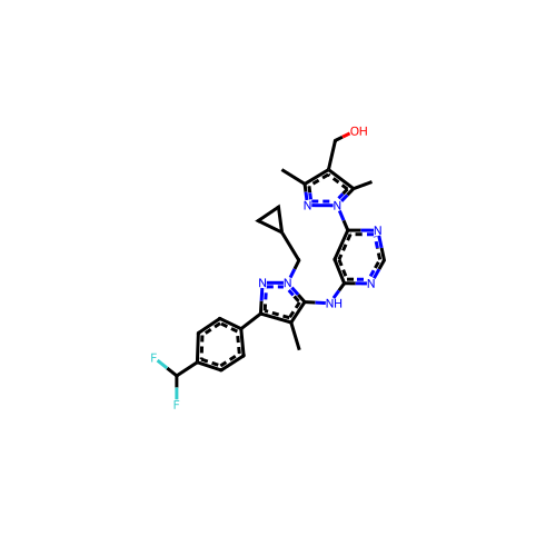 Cc1nn(-c2cc(Nc3c(C)c(-c4ccc(C(F)F)cc4)nn3CC3CC3)ncn2)c(C)c1CO